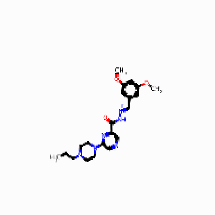 CCCN1CCN(c2cncc(C(=O)N/N=C/c3cc(OC)cc(OC)c3)n2)CC1